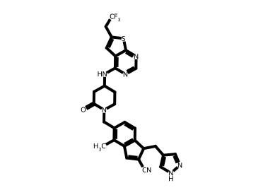 Cc1c(CN2CCC(Nc3ncnc4sc(CC(F)(F)F)cc34)CC2=O)ccc2c1C=C(C#N)C2Cc1cn[nH]c1